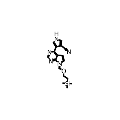 C[Si](C)(C)CCOCn1ccc2c(-c3c[nH]cc3C#N)ncnc21